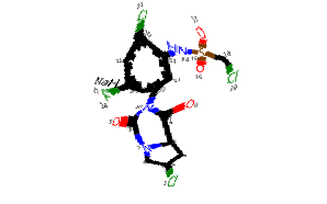 O=C1C2CC(Cl)CN2C(=O)N1c1cc(NS(=O)(=O)CCl)c(Cl)cc1F.[NaH]